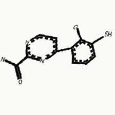 NC(=O)c1nccc(-c2cccc(S)c2Cl)n1